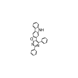 c1ccc(-c2nc(-c3ccccc3)c3c(n2)oc2cc4c(cc23)[nH]c2ccccc24)cc1